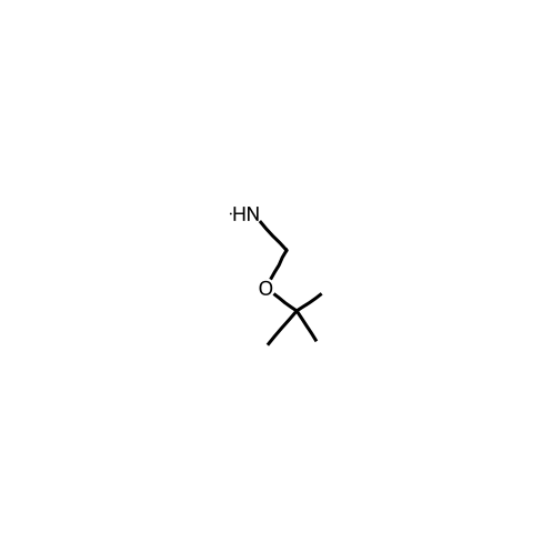 CC(C)(C)OC[NH]